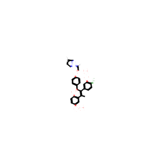 CC1=C(c2ccc(F)c(O)c2)C(c2ccc(OC[C@H](C)N3CC[C@@H](C)C3)cc2)Oc2ccc(O)cc21